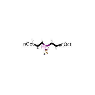 CCCCCCCCCC[PH](=S)CCCCCCCCCC